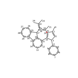 CC1=CC(c2ccccc2)C(c2cccc3c2[CH]([Zr](=[C](C)C)=[C](C)C)c2ccccc2-3)=C1